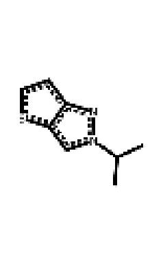 CC(C)n1cc2sccc2n1